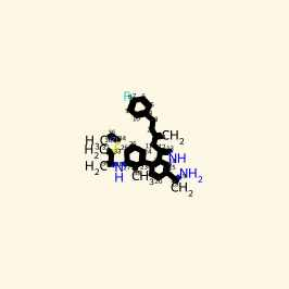 C=C(CCc1ccc(F)cc1)Cc1c[nH]c2c(C(=C)N)ccc(-c3cccc(NC(=C)C(=C)S/C=C\C)c3C)c12